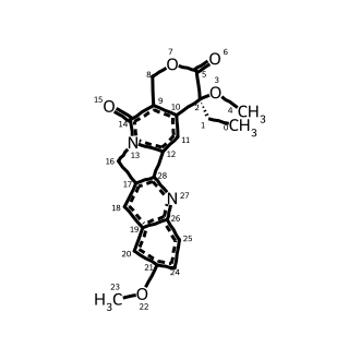 CC[C@@]1(OC)C(=O)OCc2c1cc1n(c2=O)Cc2cc3cc(OC)ccc3nc2-1